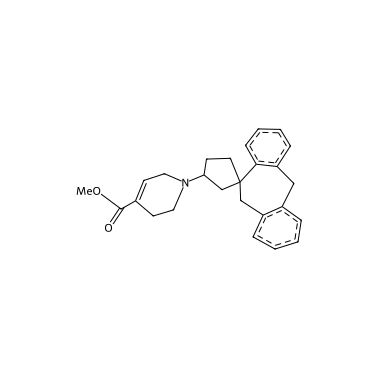 COC(=O)C1=CCN(C2CCC3(Cc4ccccc4Cc4ccccc43)C2)CC1